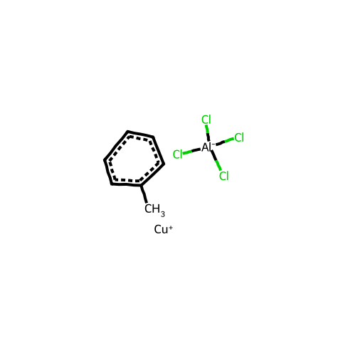 Cc1ccccc1.[Cl][Al-]([Cl])([Cl])[Cl].[Cu+]